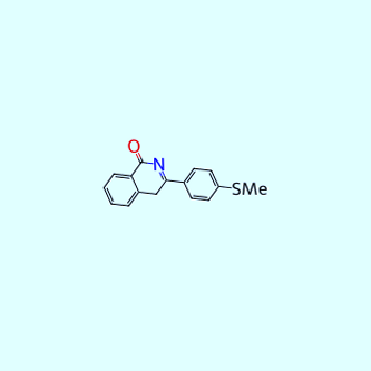 CSc1ccc(C2=NC(=O)c3ccccc3C2)cc1